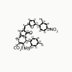 CCOC(=O)C1=C(C)N=c2sc(=Cc3ccc(-c4ccc([N+](=O)[O-])cc4C)o3)c(=O)n2C1c1ccc(C)cc1S